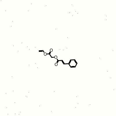 C=COC(=O)COC(=O)/C=C/c1ccccc1